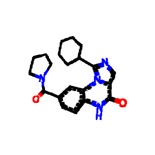 O=C(c1ccc2[nH]c(=O)c3cnc(C4CCCCC4)n3c2c1)N1CCCC1